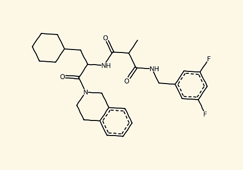 CC(C(=O)NCc1cc(F)cc(F)c1)C(=O)NC(CC1CCCCC1)C(=O)N1CCc2ccccc2C1